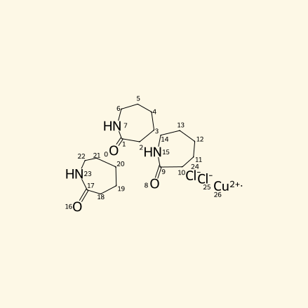 O=C1CCCCCN1.O=C1CCCCCN1.O=C1CCCCCN1.[Cl-].[Cl-].[Cu+2]